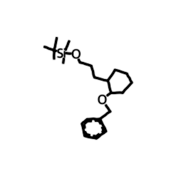 CC(C)(C)[Si](C)(C)OCCCC1CCCCC1OCc1ccccc1